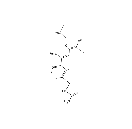 C=C(C)COC(/C=C(CCCCC)/C(=N/C)C(/C)=C(\C)CNC(N)=O)=C(/C)CCC